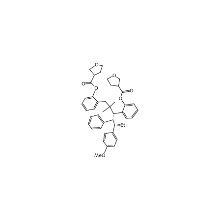 CC[C@@H](c1ccc(OC)cc1)[C@H](c1ccccc1)C(c1ccccc1OC(=O)C1CCOC1)C(C)(C)Cc1ccccc1OC(=O)C1CCOC1